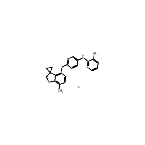 Cc1ccc(Oc2ccc(Nc3ncccc3N)cn2)c2c1OCC21CC1.[Fe]